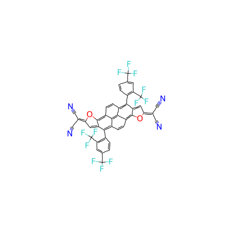 N#CC(C#N)=c1cc2c(-c3ccc(C(F)(F)F)cc3C(F)(F)F)c3ccc4c5oc(=C(C#N)C#N)cc5c(-c5ccc(C(F)(F)F)cc5C(F)(F)F)c5ccc(c2o1)c3c54